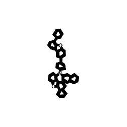 c1ccc(-c2cccc3c2oc2ccc(-c4ccc(N(c5ccc6ccccc6c5)c5cccc6oc7c8ccccc8ccc7c56)cc4)cc23)cc1